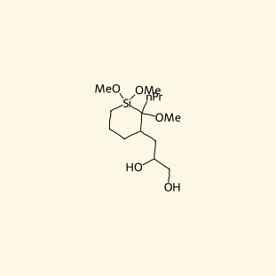 CCCC1(OC)C(CC(O)CO)CCC[Si]1(OC)OC